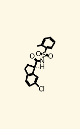 Cc1ccccc1S(=O)(=O)NC(=O)[C@]1(C)CCc2ccc(Cl)cc21